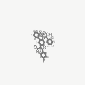 CNC(=O)c1c(-c2ccc(F)cc2)oc2cc(N(C(C)c3ccccc3)S(C)(=O)=O)c(-c3ccccc3)cc12